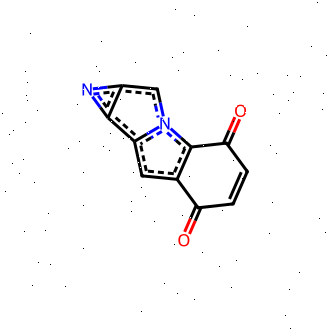 O=C1C=CC(=O)c2c1cc1c3nc3cn21